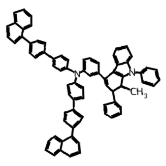 CC1c2c(c3ccccc3n2-c2ccccc2)C(c2cccc(N(c3ccc(-c4ccc(-c5cccc6ccccc56)cc4)cc3)c3ccc(-c4ccc(-c5cccc6ccccc56)cc4)cc3)c2)=CC1c1ccccc1